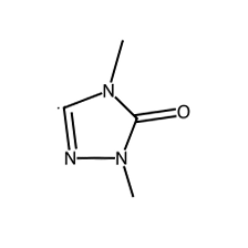 Cn1[c]nn(C)c1=O